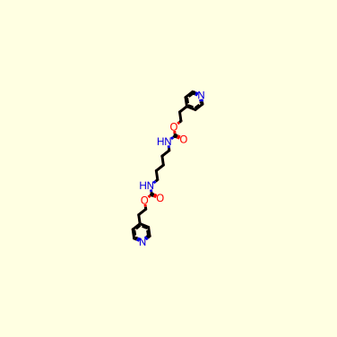 O=C(NCCCCCNC(=O)OCCc1ccncc1)OCCc1ccncc1